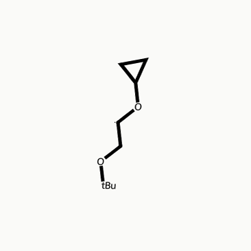 CC(C)(C)OC[CH]OC1CC1